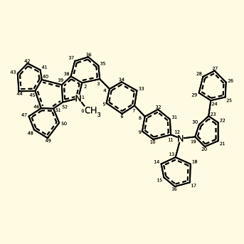 Cn1c2c(-c3ccc(-c4ccc(N(c5ccccc5)c5cccc(-c6ccccc6)c5)cc4)cc3)cccc2c2c3ccccc3c3ccccc3c21